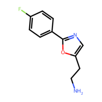 NCCc1cnc(-c2ccc(F)cc2)o1